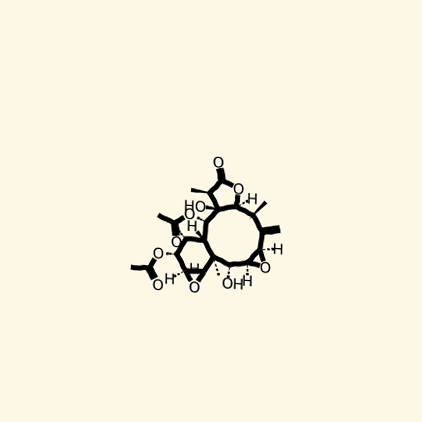 C=C1[C@H]2O[C@H]2[C@H](O)[C@]2(C)[C@H]([C@@H](C)[C@@H](OC(C)=O)[C@@H]3O[C@@H]32)[C@H](OC(C)=O)[C@]2(O)[C@@H](C)C(=O)O[C@H]2[C@H]1C